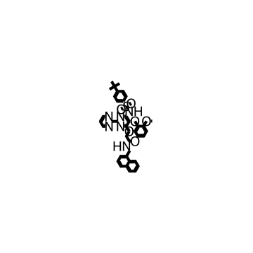 COc1ccccc1Oc1c(NS(=O)(=O)c2ccc(C(C)(C)C)cc2)nc(-c2ncccn2)nc1OCC(=O)NCc1cccc2ccccc12